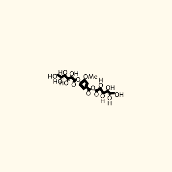 COc1cc(C(=O)OC(=O)[C@H](O)[C@@H](O)[C@H](O)[C@H](O)CO)ccc1OC(=O)[C@H](O)[C@@H](O)[C@H](O)[C@H](O)CO